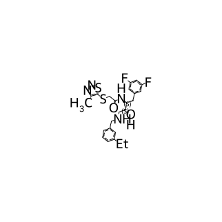 CCc1cccc(CNC[C@H](O)[C@H](Cc2cc(F)cc(F)c2)NC(=O)CSc2snnc2C)c1